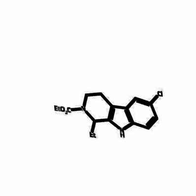 CCOC(=O)N1CCc2c([nH]c3ccc(Cl)cc23)C1CC